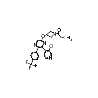 CCC(=O)N1CC(Oc2cnc(-c3ccc(C(F)(F)F)cc3)c(-c3ccncc3Cl)n2)C1